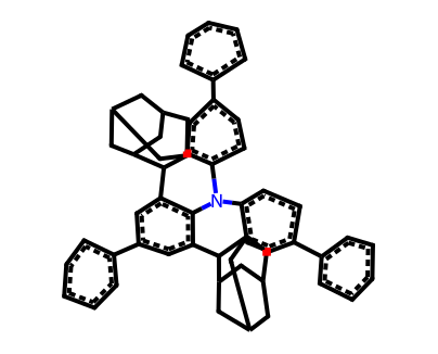 c1ccc(-c2ccc(N(c3ccc(-c4ccccc4)cc3)c3c(C4C5CC6CC(C5)CC4C6)cc(-c4ccccc4)cc3C3C4CC5CC(C4)CC3C5)cc2)cc1